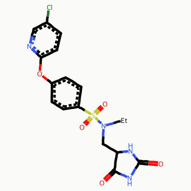 CCN(CC1NC(=O)NC1=O)S(=O)(=O)c1ccc(Oc2ccc(Cl)cn2)cc1